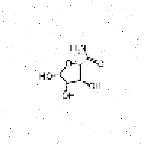 NC(=O)[C@H]1O[C@@H](O)[C@H](O)[C@@H]1O